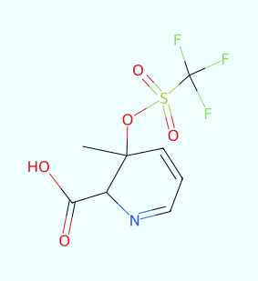 CC1(OS(=O)(=O)C(F)(F)F)C=CC=NC1C(=O)O